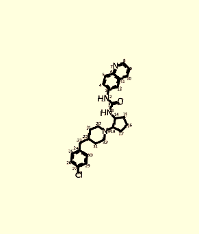 O=C(Nc1ccc2ncccc2c1)NC1CCCC1N1CCC(Cc2ccc(Cl)cc2)CC1